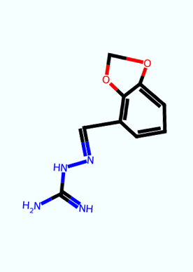 N=C(N)NN=Cc1cccc2c1OCO2